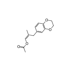 CC(=O)O/C=C(/C)Cc1ccc2c(c1)OCCO2